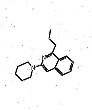 CCCc1nc(N2CCCCC2)cc2ccccc12